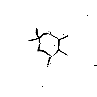 CCN1CC(C)(C)OC(C)C1C